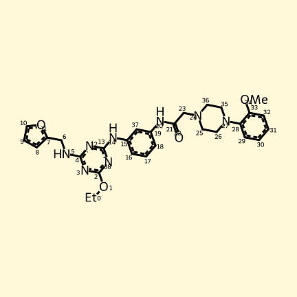 CCOc1nc(NCc2ccco2)nc(Nc2cccc(NC(=O)CN3CCN(c4ccccc4OC)CC3)c2)n1